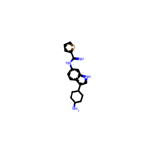 N=C(Nc1ccc2c(C3CCC(N)CC3)c[nH]c2c1)c1cccs1